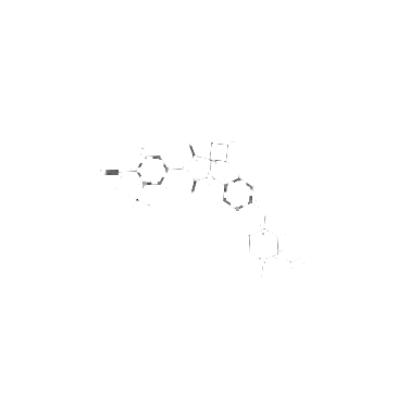 CN1CC[C@@H](Oc2ccc(N3C(=S)N(c4cnc(C#N)c(C(F)(F)F)c4)C(=O)C34CCC4)cc2)C[C@H]1CO